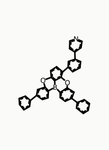 c1ccc(-c2ccc3c(c2)Oc2ccc(-c4cccc(-c5ccncc5)c4)c4c2B3c2ccc(-c3ccccc3)cc2O4)cc1